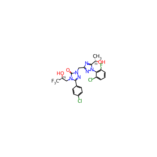 C[C@H](O)c1nc(Cn2nc(-c3ccc(Cl)cc3)n(C[C@H](O)C(F)(F)F)c2=O)nn1-c1c(F)cccc1Cl